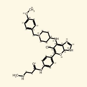 CNCCC(=O)Nc1ccc(C2=C(Cl)C(NC3CCN(Cc4ccc(OC)cc4)CC3)=C3N=CNC3O2)cc1